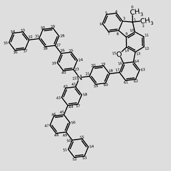 CC1(C)c2ccccc2-c2c1ccc1c2oc2c(-c3ccc(N(c4ccc(-c5cccc(-c6ccccc6)c5)cc4)c4ccc(-c5cccc(-c6ccccc6)c5)cc4)cc3)cccc21